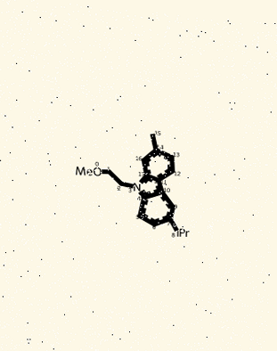 COCCn1c2ccc(C(C)C)cc2c2ccc(C)cc21